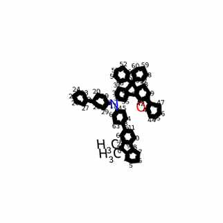 CC1(C)c2ccccc2-c2ccc(-c3ccc(N(c4ccc(-c5ccccc5)cc4)c4ccc5c(c4)-c4c(ccc6c4oc4ccccc46)C5(c4ccccc4)c4ccccc4)cc3)cc21